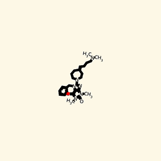 CN(C)CCC/C=C1/CCCN(c2nc3c(c(=O)n(C)c(=O)n3C)n2Cc2ccccc2)CC1